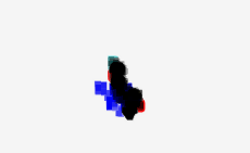 NC(=O)C(=CC1CC1)C(=O)N1CCCC(n2nc(-c3ccc(Oc4cccc(F)c4)cc3)c3c(N)ncnc32)C1